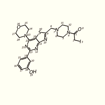 O=C(CI)N1CCN(Cc2nc3nc(-c4cccc(O)c4)nc(N4CCOCC4)c3s2)CC1